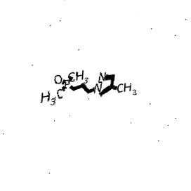 Cc1cnn(CCCP(C)(C)=O)c1